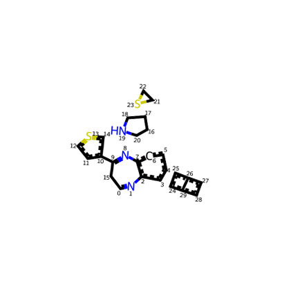 C1=Nc2ccccc2N=C(c2ccsc2)C1.C1CCNC1.C1CS1.c1cc2ccc1-2